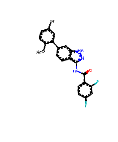 COc1ccc(C(C)C)cc1-c1ccc2c(NC(=O)c3ccc(F)cc3F)n[nH]c2c1